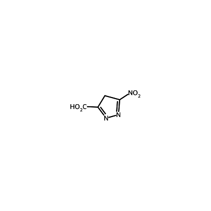 O=C(O)C1=NN=C([N+](=O)[O-])C1